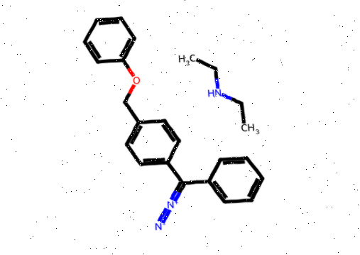 CCNCC.[N-]=[N+]=C(c1ccccc1)c1ccc(COc2ccccc2)cc1